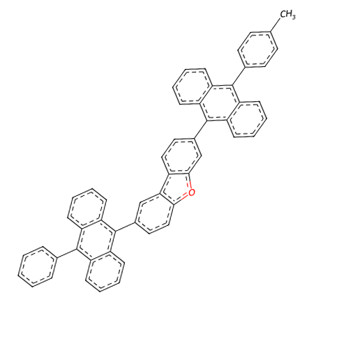 Cc1ccc(-c2c3ccccc3c(-c3ccc4c(c3)oc3ccc(-c5c6ccccc6c(-c6ccccc6)c6ccccc56)cc34)c3ccccc23)cc1